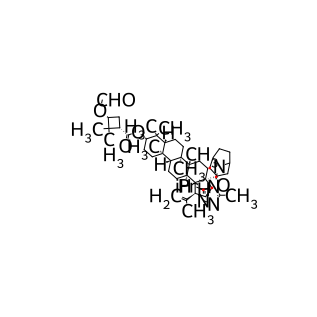 C=C(C)[C@@H]1CC[C@]2(C(=O)N3C4CCC3CC(n3c(C)nnc3C(C)C)C4)CC[C@]3(C)[C@H](CC[C@@H]4[C@@]5(C)CC[C@H](OC(=O)[C@H]6C[C@@H](OC=O)C6(C)C)C(C)(C)[C@@H]5CC[C@]43C)[C@@H]12